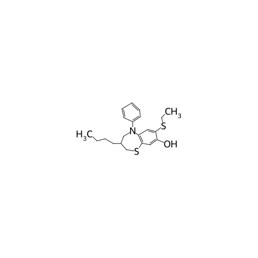 CCCCC1CSc2cc(O)c(SCC)cc2N(c2ccccc2)C1